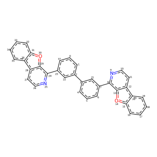 c1cc(-c2cccc(-c3nccc4c3oc3ccccc34)c2)cc(-c2nccc3c2oc2ccccc23)c1